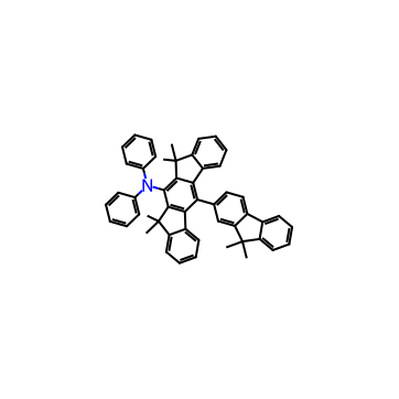 CC1(C)c2ccccc2-c2ccc(-c3c4c(c(N(c5ccccc5)c5ccccc5)c5c3-c3ccccc3C5(C)C)C(C)(C)c3ccccc3-4)cc21